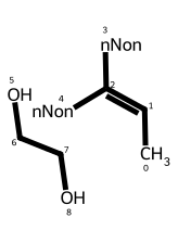 CC=C(CCCCCCCCC)CCCCCCCCC.OCCO